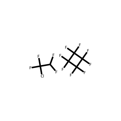 FC(F)C(F)(F)Cl.FC1(F)C(F)(F)C(F)(F)C1(F)F